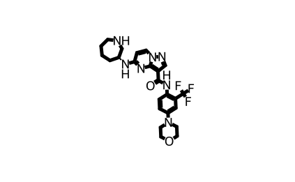 O=C(Nc1ccc(N2CCOCC2)cc1C(F)(F)F)c1cnn2ccc(N[C@@H]3CCCCNC3)nc12